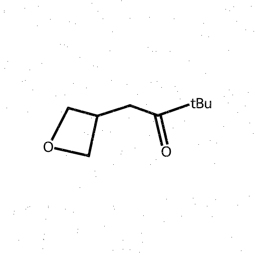 CC(C)(C)C(=O)CC1COC1